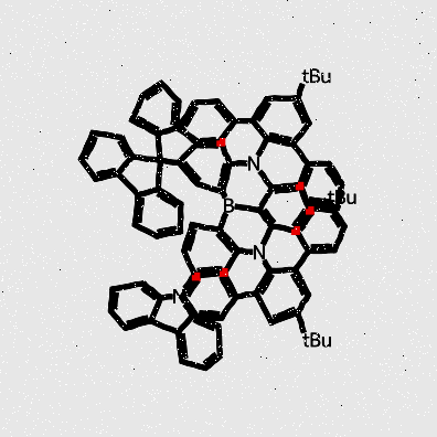 CC(C)(C)c1cc(-c2ccccc2)c(N2c3cc(-n4c5ccccc5c5ccccc54)ccc3B3c4cc5c(cc4N(c4c(-c6ccccc6)cc(C(C)(C)C)cc4-c4ccccc4)c4cc(C(C)(C)C)cc2c43)-c2ccccc2C52c3ccccc3-c3ccccc32)c(-c2ccccc2)c1